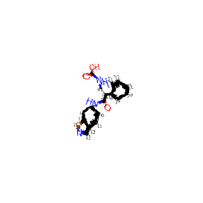 O=C(O)NC[C@@H](C(=O)Nc1ccc2cnsc2c1)c1ccccc1